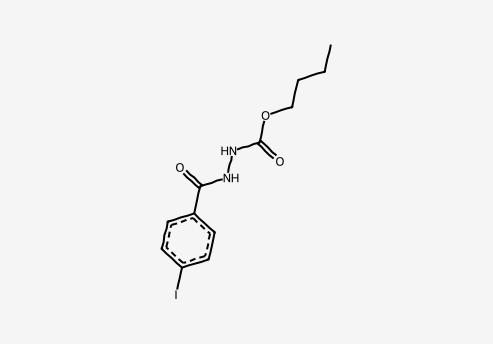 CCCCOC(=O)NNC(=O)c1ccc(I)cc1